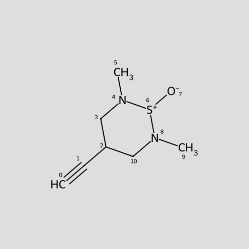 C#CC1CN(C)[S+]([O-])N(C)C1